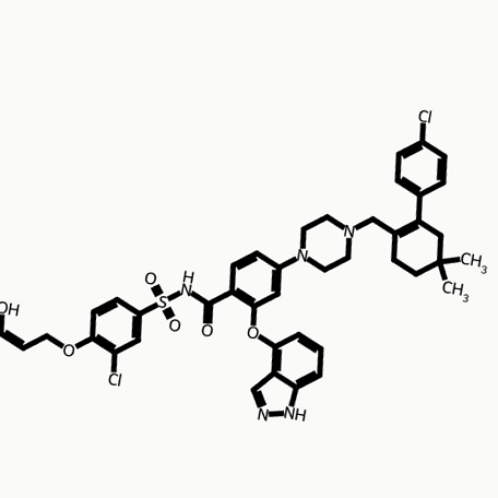 CC1(C)CCC(CN2CCN(c3ccc(C(=O)NS(=O)(=O)c4ccc(OC/C=C\O)c(Cl)c4)c(Oc4cccc5[nH]ncc45)c3)CC2)=C(c2ccc(Cl)cc2)C1